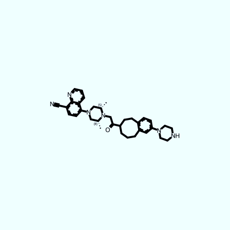 C[C@@H]1CN(c2ccc(C#N)c3ncccc23)C[C@H](C)N1CC(=O)C1CCCc2cc(N3CCNCC3)ccc2CC1